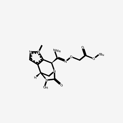 CN/C(=N\OCC(=O)OC(C)(C)C)[C@@H]1c2c(cnn2C)[C@@H]2CN1C(=O)N2O